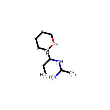 CCC(NC(C)N)[SiH]1CCCCO1